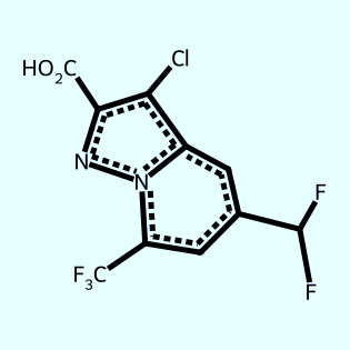 O=C(O)c1nn2c(C(F)(F)F)cc(C(F)F)cc2c1Cl